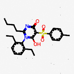 CCCCc1nc(=O)c(S(=O)(=O)c2ccc(C)cc2)c(O)n1-c1c(CC)cccc1CC